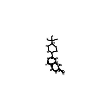 CC(C)(C)N1CCC(c2ccc3ccc(=O)oc3c2)CC1